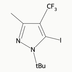 Cc1nn(C(C)(C)C)c(I)c1C(F)(F)F